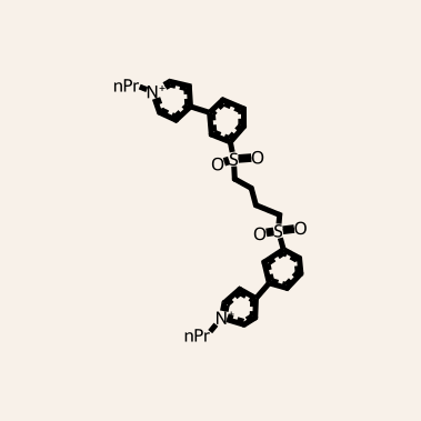 CCC[n+]1ccc(-c2cccc(S(=O)(=O)CCCCS(=O)(=O)c3cccc(-c4cc[n+](CCC)cc4)c3)c2)cc1